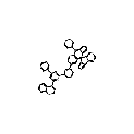 c1ccc(-c2cc(-c3cccc4ccccc34)nc(-c3cccc(-c4ccc5c(c4)C4(c6ccccc6-c6ccccc64)c4ccccc4N5c4ccccc4)c3)n2)cc1